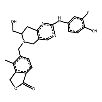 Cc1c(CN2Cc3cnc(Nc4ccc(C#N)c(F)c4)nc3CC2CO)ccc2c1COC2=O